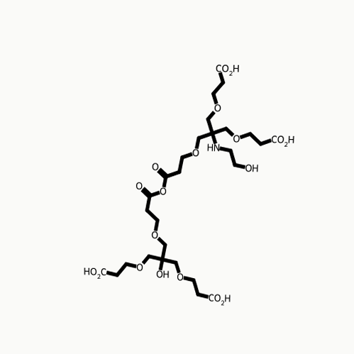 O=C(O)CCOCC(O)(COCCC(=O)O)COCCC(=O)OC(=O)CCOCC(COCCC(=O)O)(COCCC(=O)O)NCCO